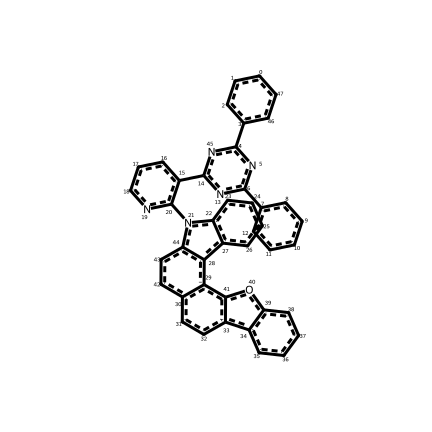 c1ccc(-c2nc(-c3ccccc3)nc(-c3cccnc3-n3c4ccccc4c4c5c(ccc6c7ccccc7oc65)ccc43)n2)cc1